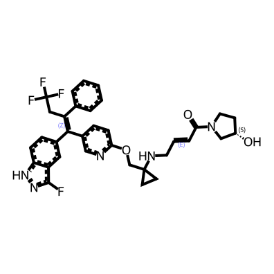 O=C(/C=C/CNC1(COc2ccc(/C(=C(/CC(F)(F)F)c3ccccc3)c3ccc4[nH]nc(F)c4c3)cn2)CC1)N1CC[C@H](O)C1